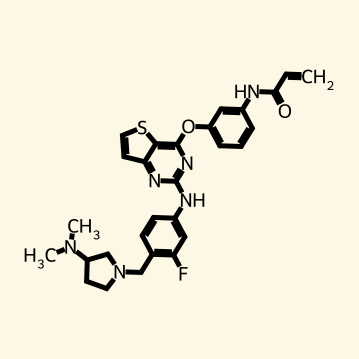 C=CC(=O)Nc1cccc(Oc2nc(Nc3ccc(CN4CCC(N(C)C)C4)c(F)c3)nc3ccsc23)c1